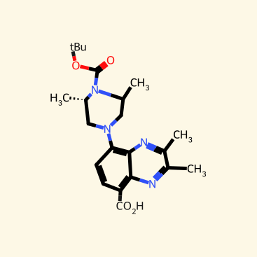 Cc1nc2c(C(=O)O)ccc(N3CC(C)N(C(=O)OC(C)(C)C)[C@@H](C)C3)c2nc1C